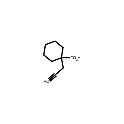 C#CCC1(C(=O)O)CCCCC1